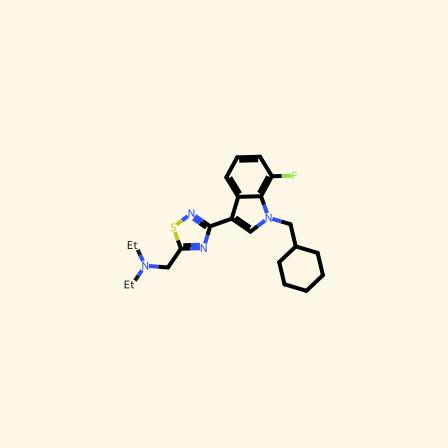 CCN(CC)Cc1nc(-c2cn(CC3CCCCC3)c3c(F)cccc23)ns1